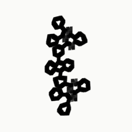 c1ccc(-c2nc3c4ccccc4nc(-c4cccc(-c5c6ccccc6c(-c6cccc(-c7nc8ccccc8c8nc(-c9ccccc9)c(-c9ccccc9)n78)c6)c6ccccc56)c4)n3c2-c2ccccc2)cc1